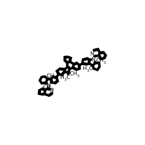 CC1(C)c2cc(-c3ccc4c(c3)C3(C)CCCCC3(C)N4c3nccc4ccccc34)ccc2-c2c1c1ccc(-c3ccc4c(c3)C3(C)CCCCC3(C)N4c3nccc4ccccc34)cc1c1ccccc21